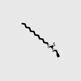 C#CCSC(=S)SCCCCCCCCCCCC